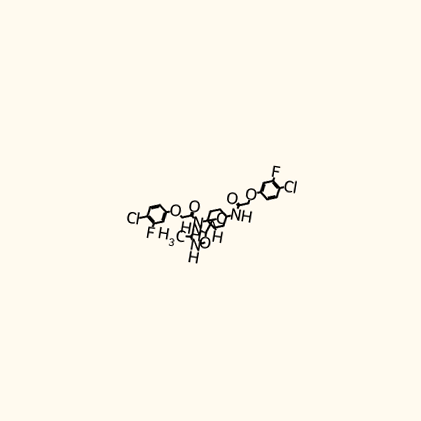 CC1NO[C@H]([C@H]2CC3(NC(=O)COc4ccc(Cl)c(F)c4)CCC2(NC(=O)COc2ccc(Cl)c(F)c2)CC3)N1